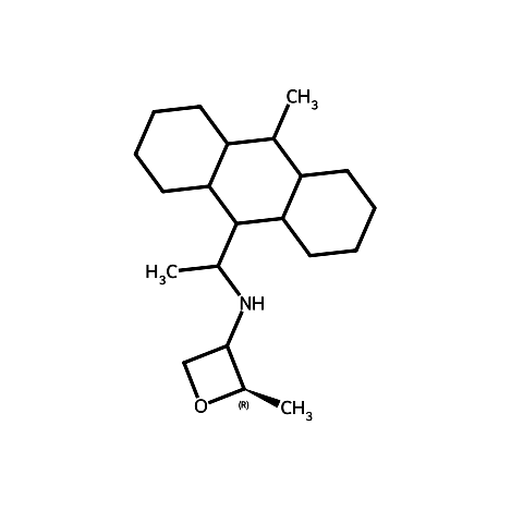 CC(NC1CO[C@@H]1C)C1C2CCCCC2C(C)C2CCCCC21